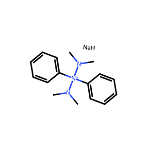 CN(C)[N+](c1ccccc1)(c1ccccc1)N(C)C.[NaH]